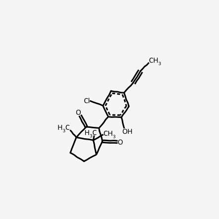 CC#Cc1cc(O)c(C2C(=O)C3CCC(C)(C2=O)C3(C)C)c(Cl)c1